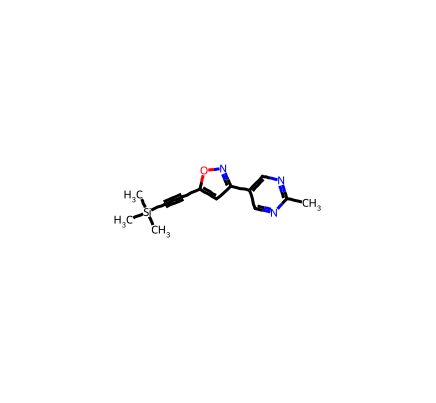 Cc1ncc(-c2cc(C#C[Si](C)(C)C)on2)cn1